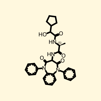 C[C@H](NC(=O)C(O)C1CCCC1)C(=O)NC1C(=O)N(c2ccccc2)c2ccccc2N(c2ccccc2)C1=O